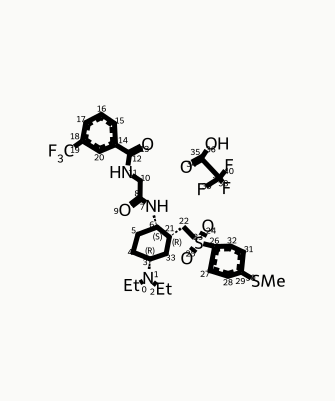 CCN(CC)[C@@H]1CC[C@H](NC(=O)CNC(=O)c2cccc(C(F)(F)F)c2)[C@H](CS(=O)(=O)c2ccc(SC)cc2)C1.O=C(O)C(F)(F)F